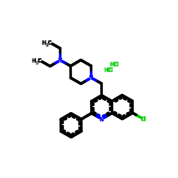 CCN(CC)C1CCN(Cc2cc(-c3ccccc3)nc3cc(Cl)ccc23)CC1.Cl.Cl